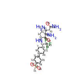 CC1C[C@H](N[C@@H](c2ccc(-c3ccc(S(C)(=O)=O)cc3)cc2)C(F)(F)F)C(=O)C1(N)[C@H](N)CC(N)=O